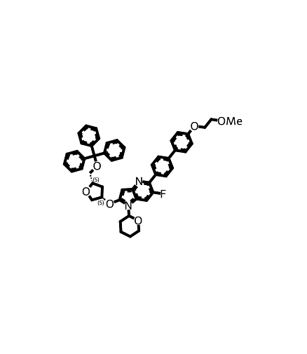 COCCOc1ccc(-c2ccc(-c3nc4cc(O[C@@H]5CO[C@H](COC(c6ccccc6)(c6ccccc6)c6ccccc6)C5)n(C5CCCCO5)c4cc3F)cc2)cc1